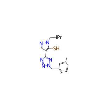 Cc1cccc(Cn2nnc(-c3cnn(CC(C)C)c3S)n2)c1